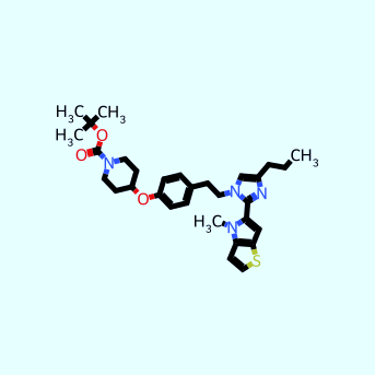 CCCc1cn(CCc2ccc(OC3CCN(C(=O)OC(C)(C)C)CC3)cc2)c(-c2cc3sccc3n2C)n1